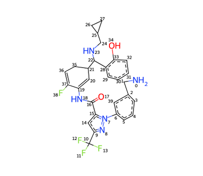 NCc1cccc(-n2nc(C(F)(F)F)cc2C(=O)NC2=CC(C(NCC3CC3)c3ccccc3O)CC=C2F)c1